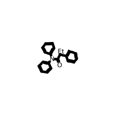 CCC(C(=O)N(c1ccccc1)c1ccccc1)c1ccccc1